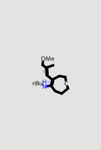 CCCCN/C1=C(\C=C(/C)COC)CCCCCC1